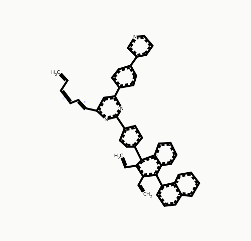 C=C/C=C\C=C\c1cc(-c2ccc(-c3cccnc3)cc2)nc(-c2ccc(-c3c(C=C)c(C=C)c(-c4cccc5ccccc45)c4ccccc34)cc2)n1